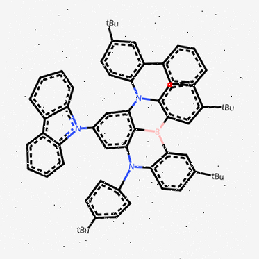 CC(C)(C)c1ccc(N2c3ccc(C(C)(C)C)cc3B3c4cc(C(C)(C)C)ccc4N(c4ccc(C(C)(C)C)cc4-c4ccccc4)c4cc(-n5c6ccccc6c6ccccc65)cc2c43)cc1